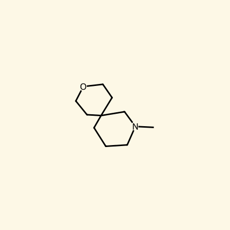 CN1CCCC2(CCOCC2)C1